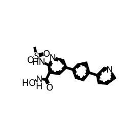 CS(=O)(=O)Nc1ncc(-c2ccc(-c3cccnc3)cc2)cc1C(=O)NO